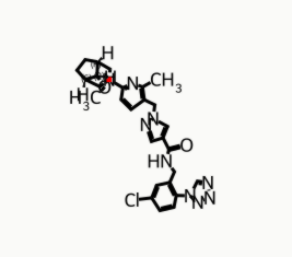 CO[C@H]1[C@@H]2CC[C@H]1CN(c1ccc(Cn3cc(C(=O)NCc4cc(Cl)ccc4-n4cnnn4)cn3)c(C)n1)C2